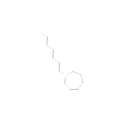 NCCCCCCN1CCCCCC1